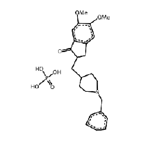 COc1cc2c(cc1OC)C(=O)C(CC1CCN(Cc3ccccc3)CC1)C2.O=P(O)(O)O